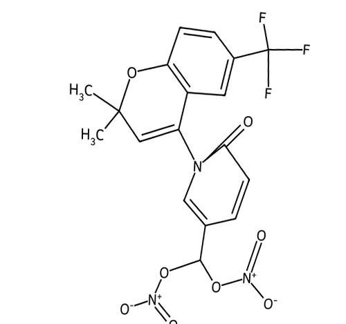 CC1(C)C=C(n2cc(C(O[N+](=O)[O-])O[N+](=O)[O-])ccc2=O)c2cc(C(F)(F)F)ccc2O1